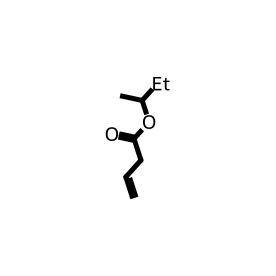 C=CCC(=O)OC(C)CC